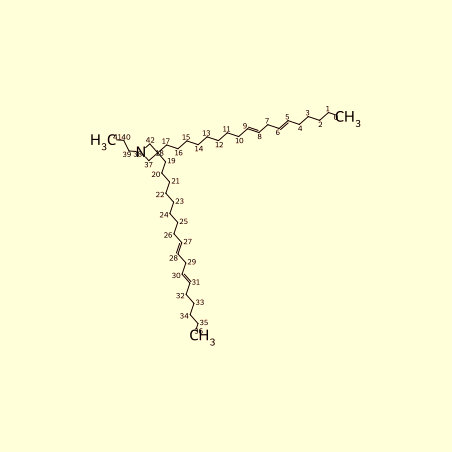 CCCCCC=CCC=CCCCCCCCCC1(CCCCCCCCC=CCC=CCCCCC)CN(CCC)C1